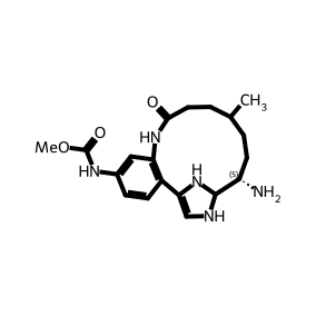 COC(=O)Nc1ccc2c(c1)NC(=O)CCC(C)CC[C@H](N)C1NC=C2N1